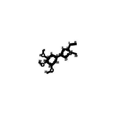 C=Cc1cc(-c2cc(OC)c(OC)c(OC)c2)cn1C